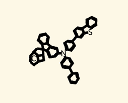 c1ccc(-c2ccc(N(c3ccc(-c4ccc5c(c4)sc4ccccc45)cc3)c3ccc4c(c3)-c3ccccc3C43C4CC5CC6CC3C6(C5)C4)cc2)cc1